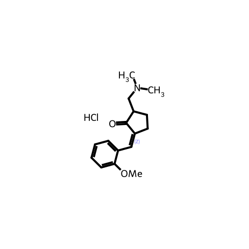 COc1ccccc1/C=C1/CCC(CN(C)C)C1=O.Cl